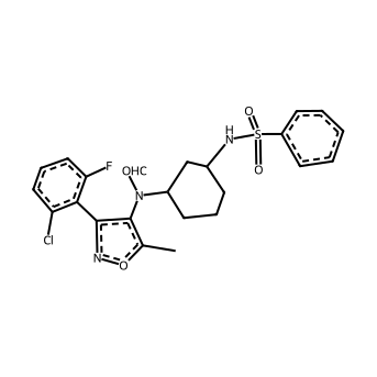 Cc1onc(-c2c(F)cccc2Cl)c1N(C=O)C1CCCC(NS(=O)(=O)c2ccccc2)C1